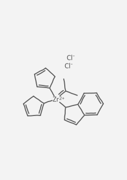 C[C](C)=[Zr+2]([C]1=CC=CC1)([C]1=CC=CC1)[CH]1C=Cc2ccccc21.[Cl-].[Cl-]